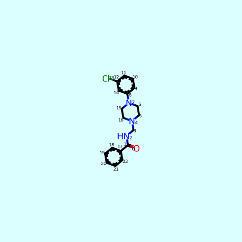 O=C(NCN1CCN(c2cccc(Cl)c2)CC1)c1ccccc1